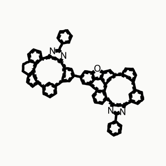 c1ccc(-c2nc3cc(n2)c2cccc4c2c2cc(ccc2CC4)c2cccc(c2)c2cc(-c4cc5oc6cc7cc8c9c(cccc9c(c4)c5c68)c4cc(nc(-c5ccccc5)n4)c4cccc(c4)c4cccc7c4)cc3c2)cc1